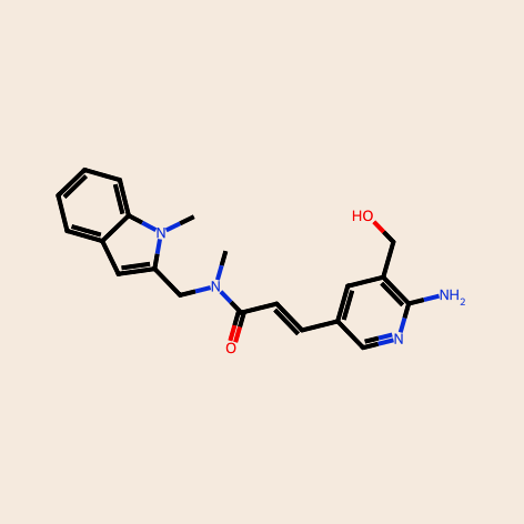 CN(Cc1cc2ccccc2n1C)C(=O)C=Cc1cnc(N)c(CO)c1